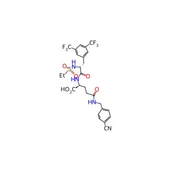 CCS(=O)(=O)N[C@H](Cc1cc(C(F)(F)F)cc(C(F)(F)F)c1)C(=O)N[C@@H](CCC(=O)NCc1ccc(C#N)cc1)C(=O)O